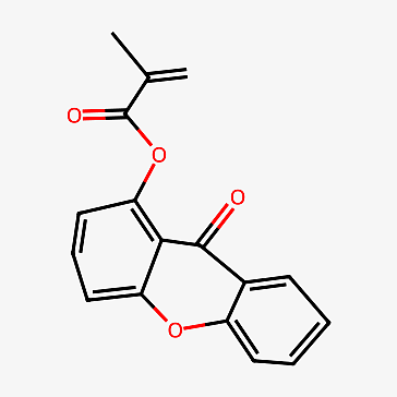 C=C(C)C(=O)Oc1cccc2oc3ccccc3c(=O)c12